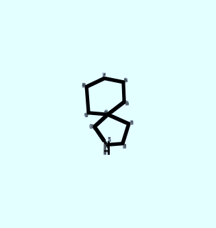 [CH]1NCCC12CCCCC2